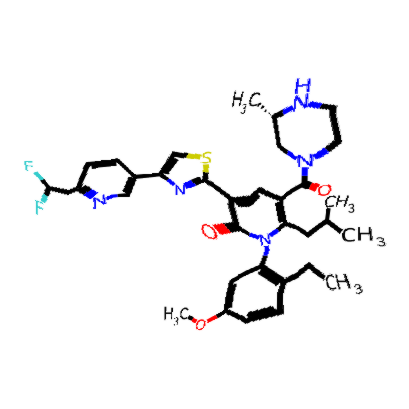 CCc1ccc(OC)cc1-n1c(CC(C)C)c(C(=O)N2CCN[C@@H](C)C2)cc(-c2nc(-c3ccc(C(F)F)nc3)cs2)c1=O